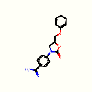 N=C(N)c1ccc(N2CC(COC3=CC[CH]C=C3)OC2=O)cc1